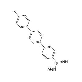 CNC(=N)c1ccc(-c2ccc(-c3ccc(C)cc3)cc2)cc1